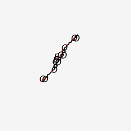 C=CC(=O)OCCCCCCCOc1ccc(C(=O)Oc2ccc(OC(=O)c3ccc(OCCCCCCCOC(=O)C=C)cc3)c(F)c2F)cc1